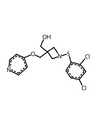 OCC1(COc2ccncc2)CN(Sc2ccc(Cl)cc2Cl)C1